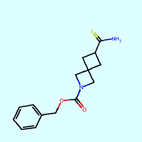 NC(=S)C1CC2(C1)CN(C(=O)OCc1ccccc1)C2